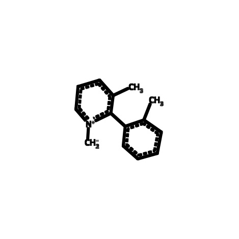 [CH2-][n+]1cccc(C)c1-c1ccccc1C